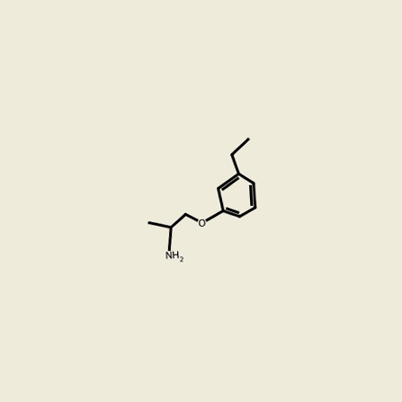 CCc1cccc(OCC(C)N)c1